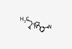 CCCC(C1CC1)[C@@H]1CCC(c2cccc(C#N)c2)=N1